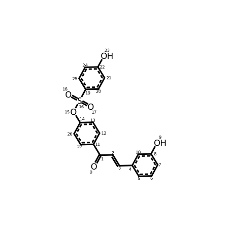 O=C(/C=C/c1cccc(O)c1)c1ccc(OS(=O)(=O)c2ccc(O)cc2)cc1